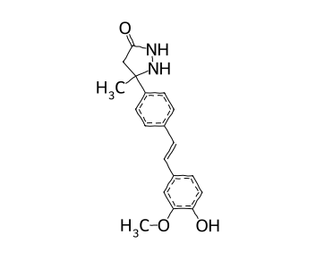 COc1cc(/C=C/c2ccc(C3(C)CC(=O)NN3)cc2)ccc1O